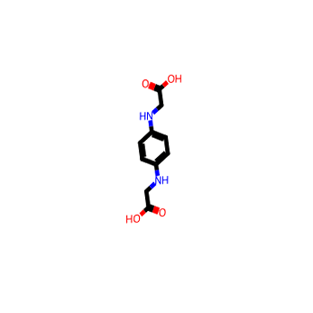 O=C(O)CNc1ccc(NCC(=O)O)cc1